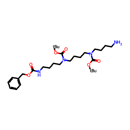 CC(C)(C)OC(=O)N(CCCCN)CCCCN(CCCCNC(=O)OCc1ccccc1)C(=O)OC(C)(C)C